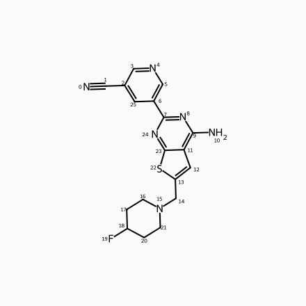 N#Cc1cncc(-c2nc(N)c3cc(CN4CCC(F)CC4)sc3n2)c1